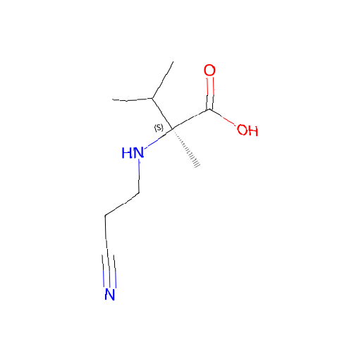 CC(C)[C@](C)(NCCC#N)C(=O)O